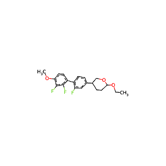 CCOC1CCC(c2ccc(-c3ccc(OC)c(F)c3F)c(F)c2)CO1